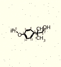 CC(C)Oc1ccc(C(C)(C)CO)cc1